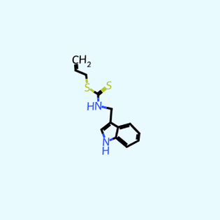 C=CCSC(=S)NCc1c[nH]c2ccccc12